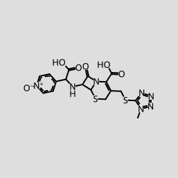 Cn1nnnc1SCC1=C(C(=O)O)N2C(=O)C(NC(C(=O)O)c3cc[n+]([O-])cc3)C2SC1